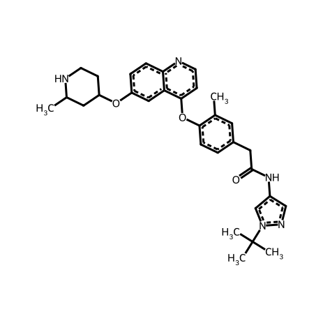 Cc1cc(CC(=O)Nc2cnn(C(C)(C)C)c2)ccc1Oc1ccnc2ccc(OC3CCNC(C)C3)cc12